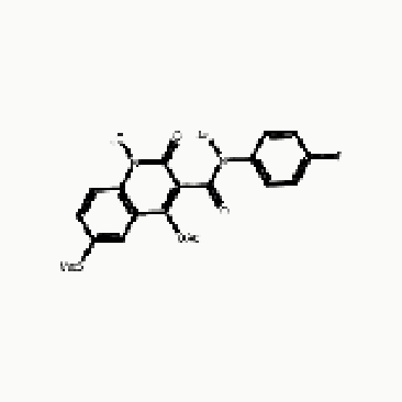 CSc1ccc2c(c1)c(OC(C)=O)c(C(=O)N(C(C)=O)c1ccc(F)cc1)c(=O)n2C